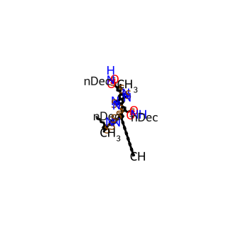 C#CC#CC#CC#CC#CC#CC#Cc1cc(-c2sc(-c3cc4c(cc(-c5cc(CCS(=O)(=O)NCCCCCCCCCC)c(C)s5)c5nsnc54)c4nsnc34)cc2CCS(=O)(=O)NCCCCCCCCCC)sc1-c1nc2sc(-c3sc(C)cc3CCCCCCCCCCCCCC)nc2s1